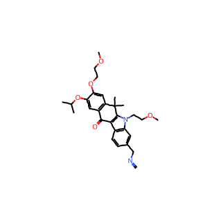 C=NCc1ccc2c3c(n(CCOC)c2c1)C(C)(C)c1cc(OCCOC)c(OC(C)C)cc1C3=O